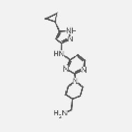 NCC1CCN(c2nccc(Nc3cc(C4CC4)[nH]n3)n2)CC1